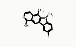 Cc1c2ccnc(C#N)c2cc2c3cc(F)ccc3n(C)c12